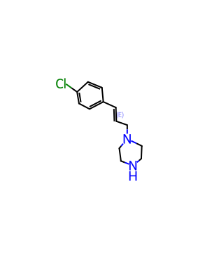 Clc1ccc(/C=C/CN2CCNCC2)cc1